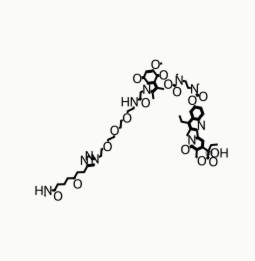 CCc1c2c(nc3ccc(OC(=O)N(C)CCN(C)C(=O)OCc4c5c(n(CC(=O)NCCOCCOCCOCCn6cc(CCC(=O)CCCC(=O)NC)nn6)c4C)C(=O)C=C(OC)C5=O)cc13)-c1cc3c(c(=O)n1C2)COC(=O)[C@]3(O)CC